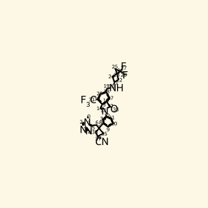 Cn1cnnc1CC1(c2cccc(N3Cc4c(cc(CNC5CC6(C5)CC6(F)F)cc4C(F)(F)F)C3=O)c2)CC(C#N)C1